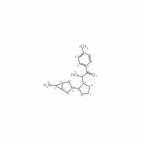 Cc1ccc(C(=O)C(O)C2CCCC2N2CC3C(N)C3C2)cc1